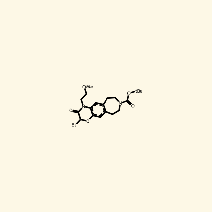 CCC1Oc2cc3c(cc2N(CCOC)C1=O)CCN(C(=O)OC(C)(C)C)CC3